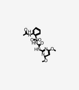 COc1cc(OC)nc(NC(=O)NS(=O)(=O)c2ccccc2NC(C)=O)n1